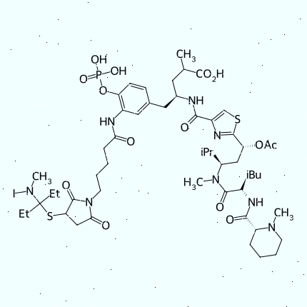 CC[C@H](C)[C@H](NC(=O)[C@H]1CCCCN1C)C(=O)N(C)[C@H](C[C@@H](OC(C)=O)c1nc(C(=O)N[C@@H](Cc2ccc(OP(=O)(O)O)c(NC(=O)CCCCN3C(=O)CC(SC(CC)(CC)N(C)I)C3=O)c2)CC(C)C(=O)O)cs1)C(C)C